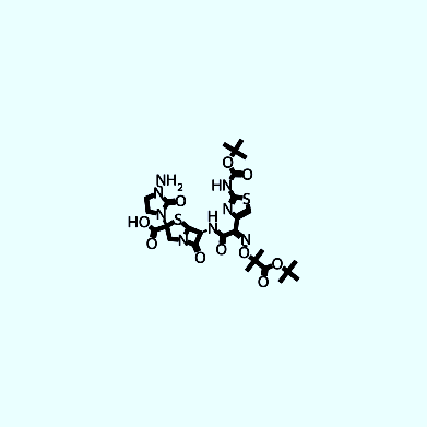 CC(C)(C)OC(=O)Nc1nc(/C(=N/OC(C)(C)C(=O)OC(C)(C)C)C(=O)N[C@@H]2C(=O)N3C[C@@](C(=O)O)(N4CCN(N)C4=O)SC23)cs1